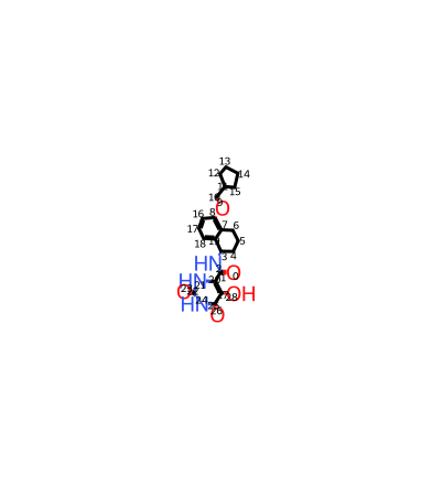 O=C(N[C@@H]1CCCc2c(OCC3CCCC3)cccc21)c1[nH]c(=O)[nH]c(=O)c1O